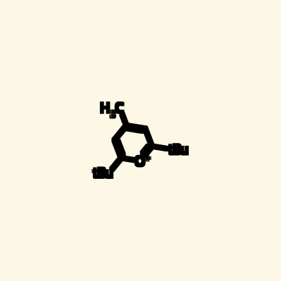 Cc1cc(C(C)(C)C)[o+]c(C(C)(C)C)c1